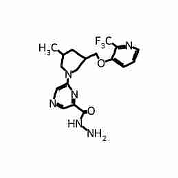 CC1CC(COc2cccnc2C(F)(F)F)CN(c2cncc(C(=O)NN)n2)C1